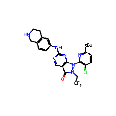 CC(C)(C)c1ccc(Cl)c(-n2c3nc(Nc4ccc5c(c4)CCNC5)ncc3c(=O)n2CC(F)(F)F)n1